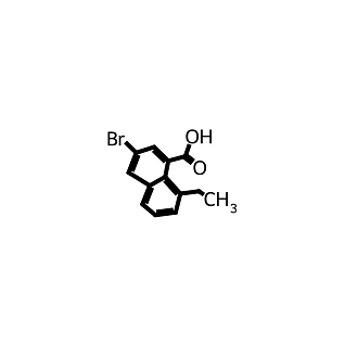 CCc1cccc2cc(Br)cc(C(=O)O)c12